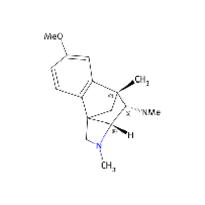 CN[C@@H]1[C@@H]2N(C)CC23C[C@]1(C)c1cc(OC)ccc13